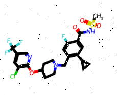 CS(=O)(=O)NC(=O)c1cc(C2CC2)c(CN2CCC(Oc3ncc(C(F)(F)F)cc3Cl)CC2)cc1F